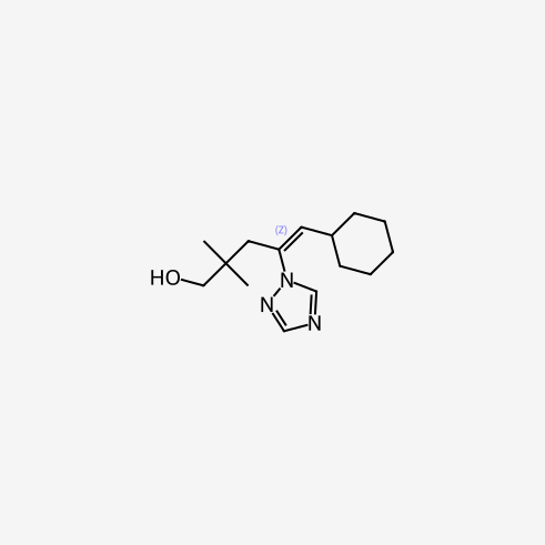 CC(C)(CO)C/C(=C/C1CCCCC1)n1cncn1